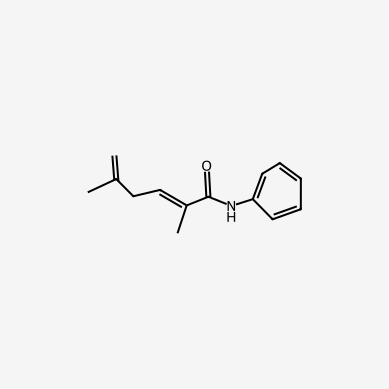 C=C(C)C/C=C(\C)C(=O)Nc1ccccc1